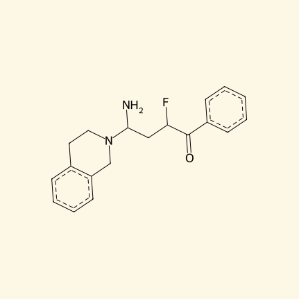 NC(CC(F)C(=O)c1ccccc1)N1CCc2ccccc2C1